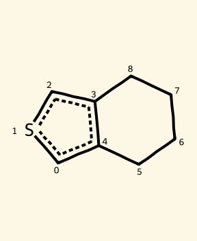 c1scc2c1CCCC2